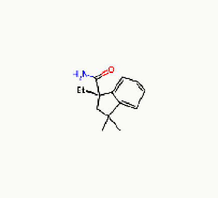 CC[C@]1(C(N)=O)CC(C)(C)c2ccccc21